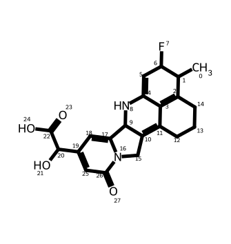 CC1C2=C3C(=CC1F)NC1C(=C3CCC2)Cn2c1cc(C(O)C(=O)O)cc2=O